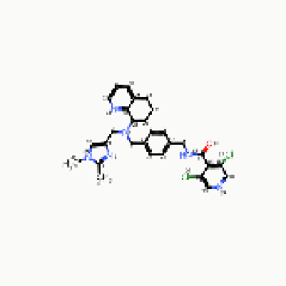 Cc1nc(CN(Cc2ccc(CNC(=O)c3c(Cl)cncc3Cl)cc2)C2CCCc3cccnc32)cn1C